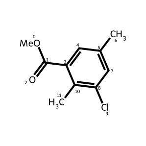 COC(=O)c1cc(C)cc(Cl)c1C